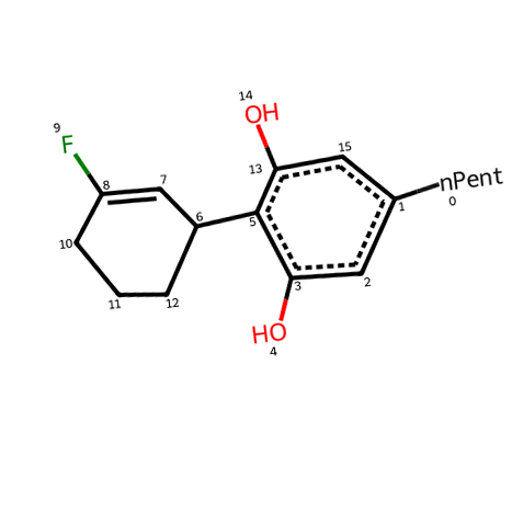 CCCCCc1cc(O)c(C2C=C(F)CCC2)c(O)c1